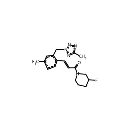 Cc1nnn(Cc2cc(C(F)(F)F)ccc2C=CC(=O)N2CCCC(F)C2)n1